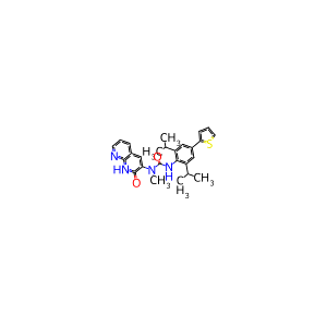 CC(C)c1cc(-c2cccs2)cc(C(C)C)c1NC(=O)N(C)c1cc2cccnc2[nH]c1=O